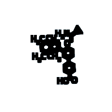 CC1(C)CCC(C)(C)c2cc(-c3cc(-c4ccc(C(=O)O)cc4)ccc3OCC(N)C3CC3)ccc21